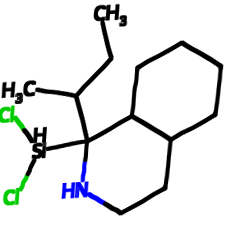 CCC(C)C1([SiH](Cl)Cl)NCCC2CCCCC21